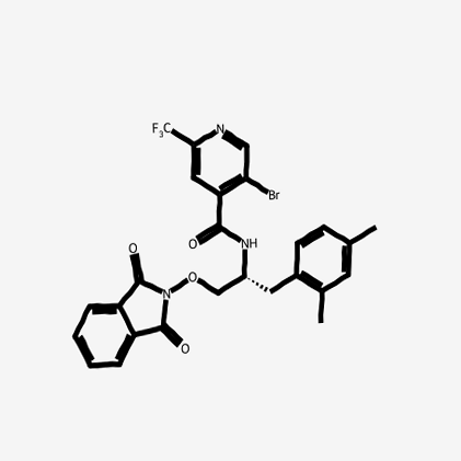 Cc1ccc(C[C@H](CON2C(=O)c3ccccc3C2=O)NC(=O)c2cc(C(F)(F)F)ncc2Br)c(C)c1